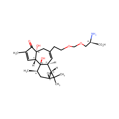 CC(=O)O[C@@]12C[C@@H](C)[C@@]3(O)[C@@H](C=C(CCOCOC[C@@H](N)C(=O)O)C[C@]4(O)C(=O)C(C)=C[C@@H]34)[C@@H]1C2(C)C